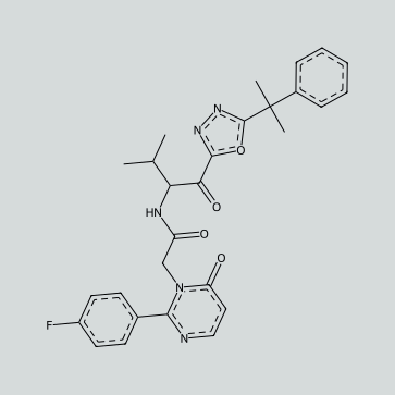 CC(C)C(NC(=O)Cn1c(-c2ccc(F)cc2)nccc1=O)C(=O)c1nnc(C(C)(C)c2ccccc2)o1